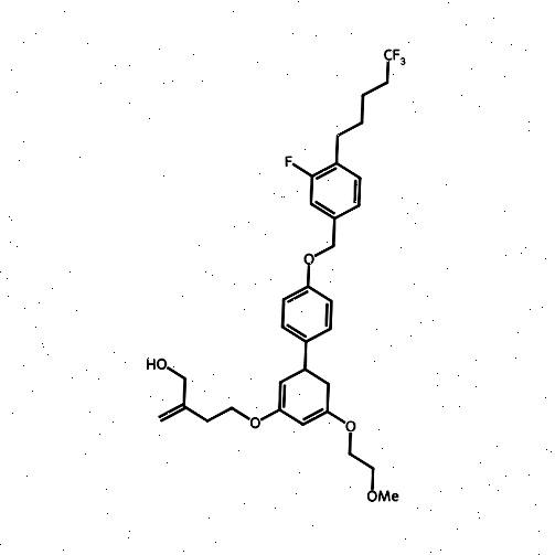 C=C(CO)CCOC1=CC(c2ccc(OCc3ccc(CCCCC(F)(F)F)c(F)c3)cc2)CC(OCCOC)=C1